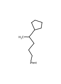 CCCC(C)CCCC(C)C1CCCC1